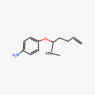 C=CCCC(Oc1ccc(N)cc1)[SiH](C)C